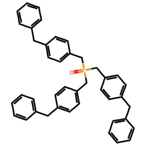 O=P(Cc1ccc(Cc2ccccc2)cc1)(Cc1ccc(Cc2ccccc2)cc1)Cc1ccc(Cc2ccccc2)cc1